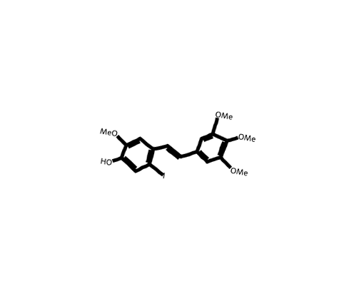 COc1cc(C=Cc2cc(OC)c(OC)c(OC)c2)c(I)cc1O